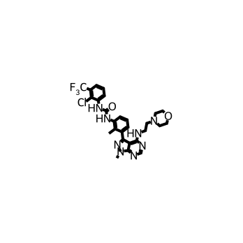 Cc1c(NC(=O)Nc2cccc(C(F)(F)F)c2Cl)cccc1-c1nn(C)c2ncnc(NCCN3CCOCC3)c12